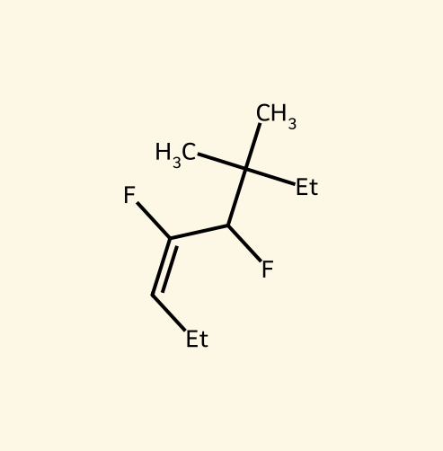 CC/C=C(/F)C(F)C(C)(C)CC